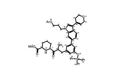 COC(=O)C1CCCN(C(=O)C(N)Cc2cc(O[Si](C(C)C)(C(C)C)C(C)C)cc(-c3ccc4c(C5=CCOCC5)cn(CCCOC(C)=O)c4c3)c2)N1